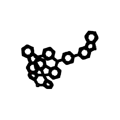 c1cc(N(c2ccc(-c3ccc4sc5ccccc5c4c3)cc2)c2cccc3c2-c2ccccc2C32c3ccccc3Oc3ccccc32)cc(-n2c3ccccc3c3ccccc32)c1